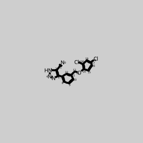 N#Cc1[nH]nnc1-c1cccc(COc2ccc(Cl)cc2Cl)c1